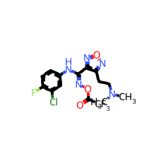 CN(C)CCc1nonc1C(=NOC(=O)C(F)(F)F)Nc1ccc(F)c(Cl)c1